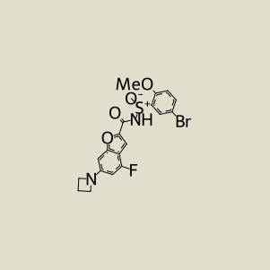 COc1ccc(Br)cc1[S+]([O-])NC(=O)c1cc2c(F)cc(N3CCC3)cc2o1